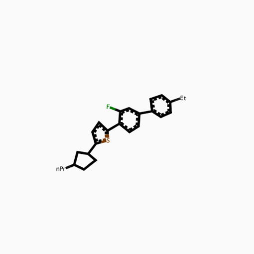 CCCC1CCC(c2ccc(-c3ccc(-c4ccc(CC)cc4)cc3F)s2)C1